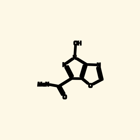 CNC(=O)c1nn(O)c2ncoc12